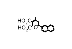 CC(CC(=O)c1ccc2ccccc2c1)=C(CC(=O)O)C(=O)O